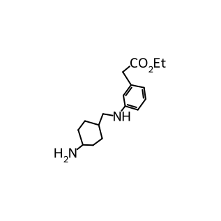 CCOC(=O)Cc1cccc(NCC2CCC(N)CC2)c1